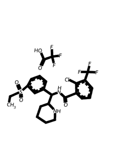 CCS(=O)(=O)c1cccc(C(NC(=O)c2cccc(C(F)(F)F)c2Cl)C2CCCCN2)c1.O=C(O)C(F)(F)F